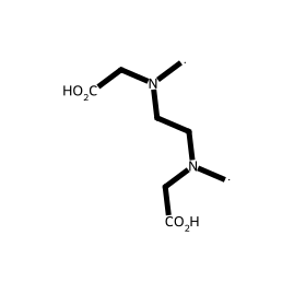 [CH2]N(CCN([CH2])CC(=O)O)CC(=O)O